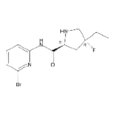 CC[C@]1(F)CN[C@H](C(=O)Nc2cccc(Br)n2)C1